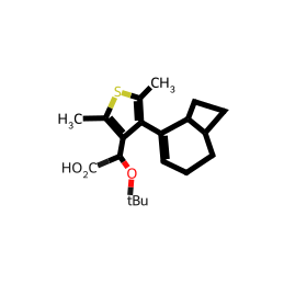 Cc1sc(C)c(C(OC(C)(C)C)C(=O)O)c1C1=CCCC2CCC12